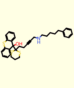 OC1(C2(CCC#CCNCCCCCc3ccccc3)SCCCS2)c2ccccc2Sc2ccccc21